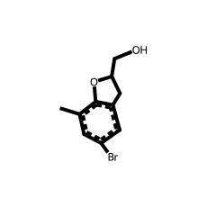 Cc1cc(Br)cc2c1OC(CO)C2